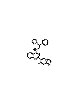 Cc1cc2nccn2cc1-c1nc(NCC(c2ccccc2)n2cccc2)c2ccccc2n1